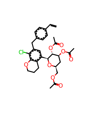 C=Cc1ccc(Cc2cc([C@@H]3O[C@H](COC(C)=O)C[C@H](OC(C)=O)[C@H]3OC(C)=O)c3c(c2Cl)OCCC3)cc1